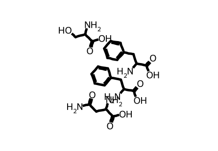 NC(=O)CC(N)C(=O)O.NC(CO)C(=O)O.NC(Cc1ccccc1)C(=O)O.NC(Cc1ccccc1)C(=O)O